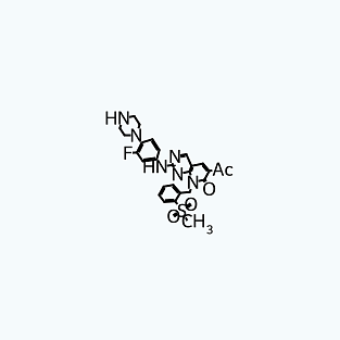 CC(=O)c1cc2cnc(Nc3ccc(N4CCNCC4)c(F)c3)nc2n(Cc2ccccc2S(C)(=O)=O)c1=O